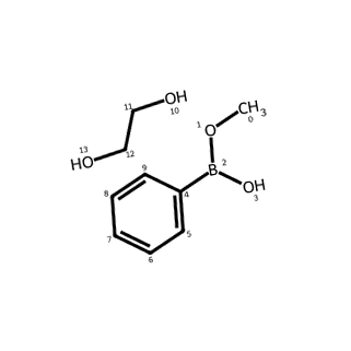 COB(O)c1ccccc1.OCCO